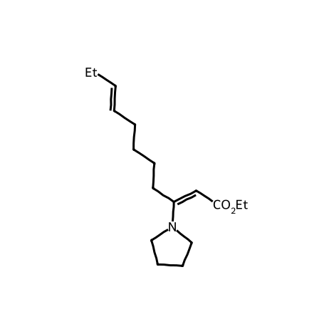 CC/C=C/CCCC/C(=C/C(=O)OCC)N1CCCC1